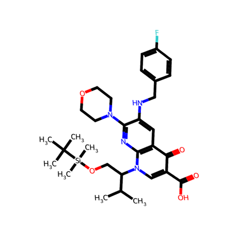 CC(C)C(CO[Si](C)(C)C(C)(C)C)n1cc(C(=O)O)c(=O)c2cc(NCc3ccc(F)cc3)c(N3CCOCC3)nc21